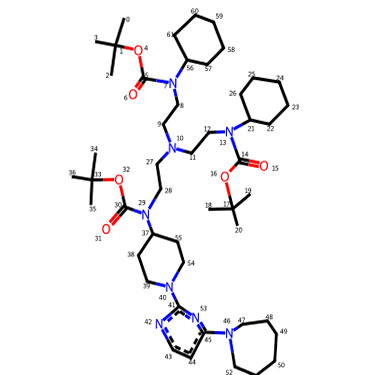 CC(C)(C)OC(=O)N(CCN(CCN(C(=O)OC(C)(C)C)C1CCCCC1)CCN(C(=O)OC(C)(C)C)C1CCN(c2nccc(N3CCCCCC3)n2)CC1)C1CCCCC1